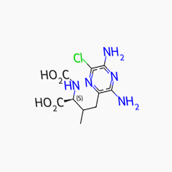 CC(Cc1nc(Cl)c(N)nc1N)[C@H](NC(=O)O)C(=O)O